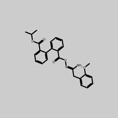 COc1ccccc1C/C(N)=N/OC(=O)c1ccccc1-c1ccccc1C(=O)OC(C)C